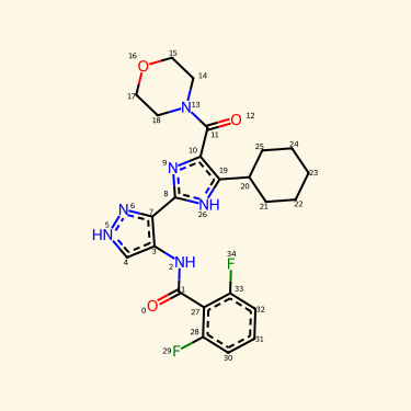 O=C(Nc1c[nH]nc1-c1nc(C(=O)N2CCOCC2)c(C2CCCCC2)[nH]1)c1c(F)cccc1F